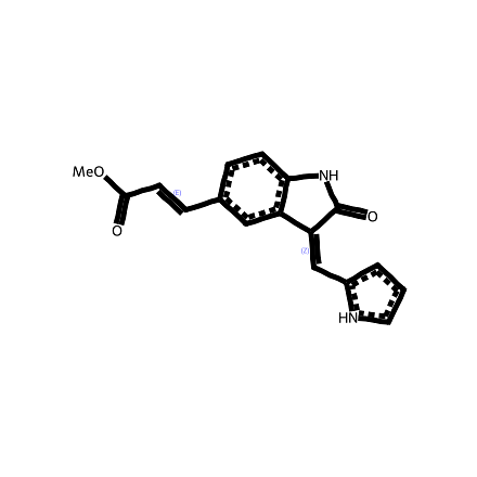 COC(=O)/C=C/c1ccc2c(c1)/C(=C/c1ccc[nH]1)C(=O)N2